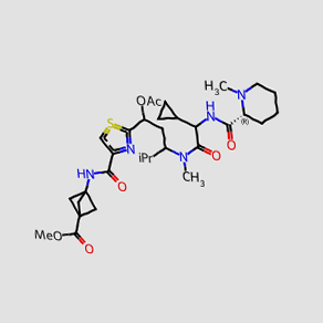 COC(=O)C12CC(NC(=O)c3csc(C(CC(C(C)C)N(C)C(=O)C(NC(=O)[C@H]4CCCCN4C)C4CC4)OC(C)=O)n3)(C1)C2